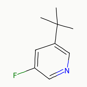 CC(C)(C)c1cncc(F)c1